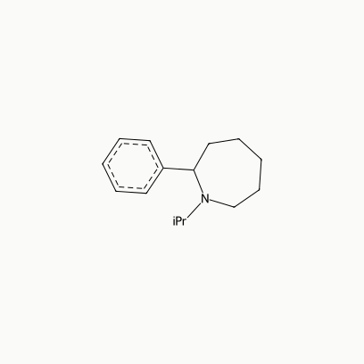 CC(C)N1CCCCCC1c1ccccc1